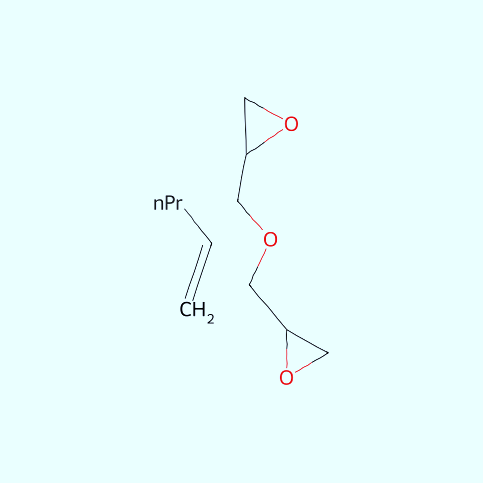 C(OCC1CO1)C1CO1.C=CCCC